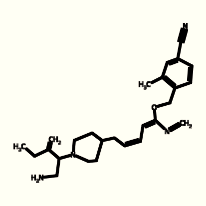 C=N/C(=C\C=C/CC1CCN(C(CN)C(=C)CC)CC1)OCc1ccc(C#N)cc1C